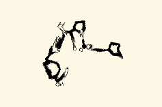 O=C(O)c1cccc(-c2cnc(NC(=O)C3CCCN3C(=O)OCc3ccccc3)s2)c1